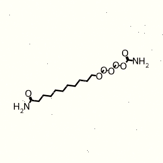 NC(=O)CCCCCCCCCCOOOOOC(N)=O